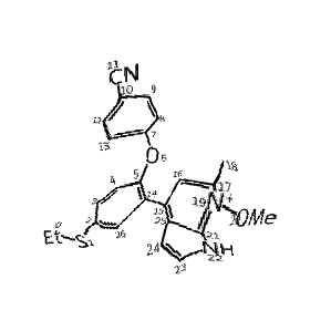 CCSc1ccc(Oc2ccc(C#N)cc2)c(-c2cc(C)[n+](OC)c3[nH]ccc23)c1